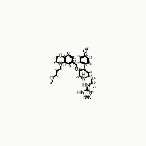 COCCCN1CCOc2ccc(CO[C@H]3CN[C@@H](C[C@H](C)Nc4nnn[nH]4)C[C@@H]3c3ccc(OC)cc3)cc21